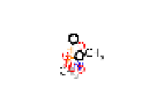 CCO[PH](=O)c1cc(Oc2ccccc2)c(C)cc1[N+](=O)[O-]